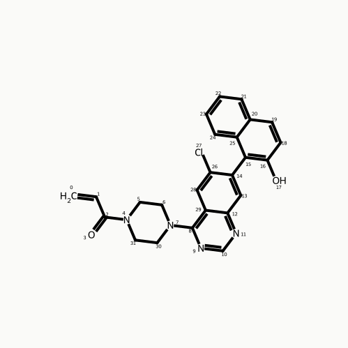 C=CC(=O)N1CCN(c2ncnc3cc(-c4c(O)ccc5ccccc45)c(Cl)cc23)CC1